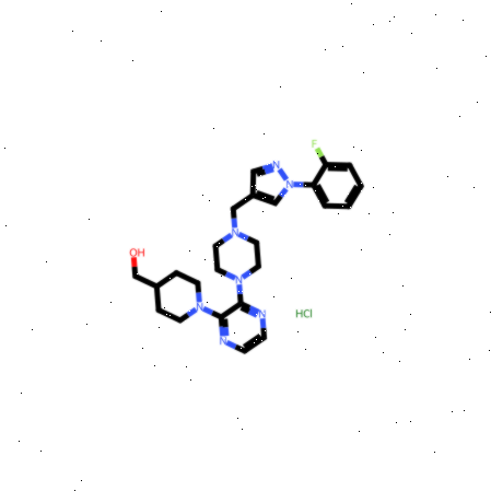 Cl.OCC1CCN(c2nccnc2N2CCN(Cc3cnn(-c4ccccc4F)c3)CC2)CC1